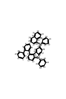 c1ccc(-c2ccccc2-c2cccc3c2c2cc(N(c4ccccc4)c4cccc5ccccc45)ccc2n3-c2ccccc2)cc1